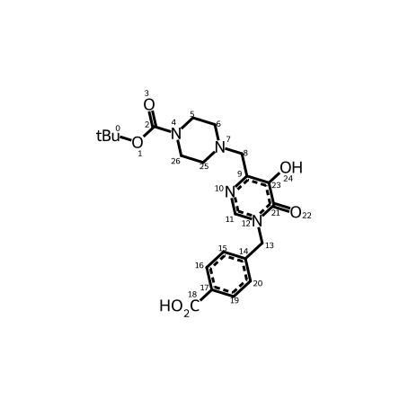 CC(C)(C)OC(=O)N1CCN(Cc2ncn(Cc3ccc(C(=O)O)cc3)c(=O)c2O)CC1